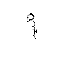 C/C=N/OCc1ccco1